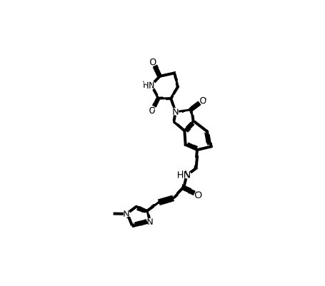 Cn1cnc(C#CC(=O)NCc2ccc3c(c2)CN(C2CCC(=O)NC2=O)C3=O)c1